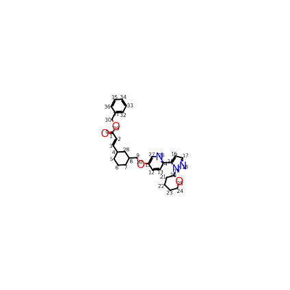 O=C(/C=C/C1CCCC(COc2ccc(-c3ccnn3C3CCCCO3)nc2)C1)OCc1ccccc1